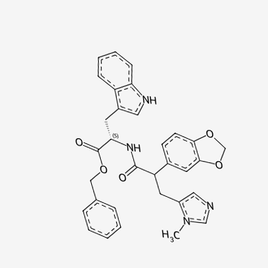 Cn1cncc1CC(C(=O)N[C@@H](Cc1c[nH]c2ccccc12)C(=O)OCc1ccccc1)c1ccc2c(c1)OCO2